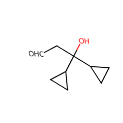 O=CCC(O)(C1CC1)C1CC1